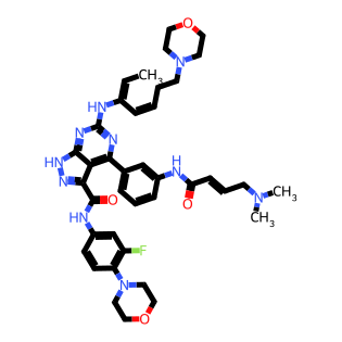 C/C=C(\C=C/CCN1CCOCC1)Nc1nc(-c2cccc(NC(=O)/C=C/CN(C)C)c2)c2c(C(=O)Nc3ccc(N4CCOCC4)c(F)c3)n[nH]c2n1